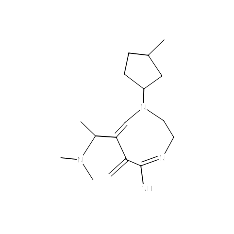 C=C1/C(C(C)N(C)C)=C\N(C2CCC(C)C2)CC/N=C\1N